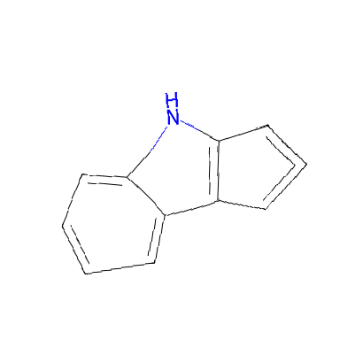 C1=Cc2[nH]c3ccccc3c2C=1